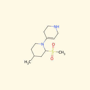 CC1CCN(C2=CCNCC2)C(S(C)(=O)=O)C1